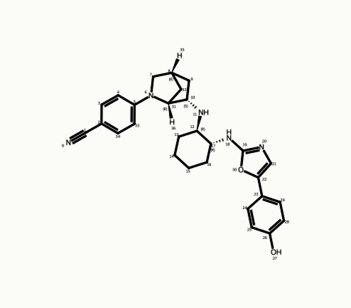 N#Cc1ccc(N2C[C@@H]3C[C@H](N[C@@H]4CCCC[C@H]4Nc4ncc(-c5ccc(O)cc5)o4)[C@H]2C3)cc1